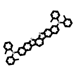 Cc1ccccc1N(c1ccc2cc3c(cc2c1)sc1c3ccc2c3cc4ccc(N(c5ccccc5C)c5ccccc5C)cc4cc3sc21)c1ccccc1C